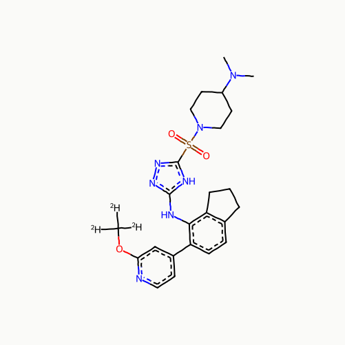 [2H]C([2H])([2H])Oc1cc(-c2ccc3c(c2Nc2nnc(S(=O)(=O)N4CCC(N(C)C)CC4)[nH]2)CCC3)ccn1